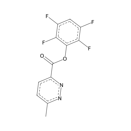 Cc1ccc(C(=O)Oc2c(F)c(F)cc(F)c2F)nn1